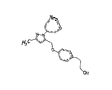 Cc1cc(COc2ccc(CCO)cc2)n(-c2cccnc2)n1